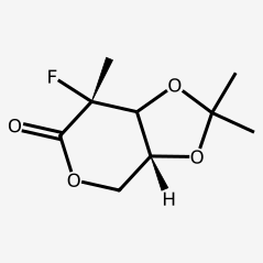 CC1(C)OC2[C@@H](COC(=O)[C@]2(C)F)O1